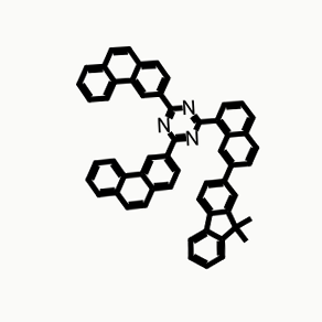 CC1(C)c2ccccc2-c2ccc(-c3ccc4cccc(-c5nc(-c6ccc7ccc8ccccc8c7c6)nc(-c6ccc7ccc8ccccc8c7c6)n5)c4c3)cc21